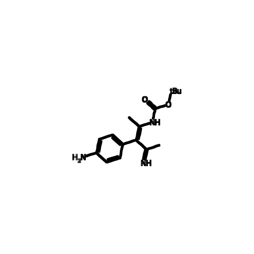 CC(=N)/C(=C(/C)NC(=O)OC(C)(C)C)c1ccc(N)cc1